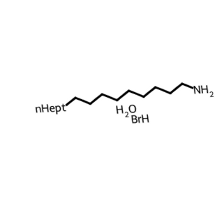 Br.CCCCCCCCCCCCCCCCN.O